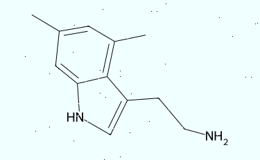 Cc1cc(C)c2c(CCN)c[nH]c2c1